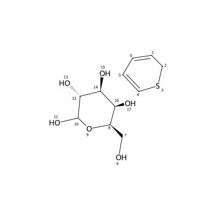 C1=CCSC=C1.OC[C@H]1OC(O)[C@H](O)[C@@H](O)[C@H]1O